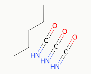 CCCCC.N=C=O.N=C=O.N=C=O